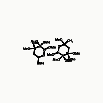 COC1C[Si](OC)(OC)[Si](OC)(OC)N(OC)O1.CON1OC(C)(OC)C[Si](OC)(OC)[Si]1(OC)OC